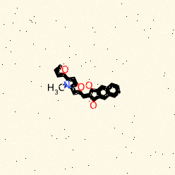 Cn1c(-c2ccco2)cc2oc(C=C3C(=O)c4cc5ccccc5cc4C3=O)cc21